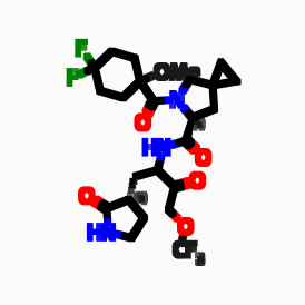 COC1(C(=O)N2CC3(CC3)C[C@H]2C(=O)NC(C[C@@H]2CCNC2=O)C(=O)COC(F)(F)F)CCC(F)(F)CC1